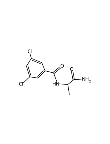 CC(NC(=O)c1cc(Cl)cc(Cl)c1)C(N)=O